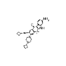 CC1(C)c2cc(N3CCN(C4CCC4)CC3)c(C#CC3CCC3)cc2C(=O)c2c1[nH]c1cc(N)ccc21